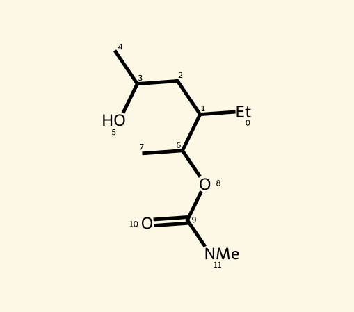 CCC(CC(C)O)C(C)OC(=O)NC